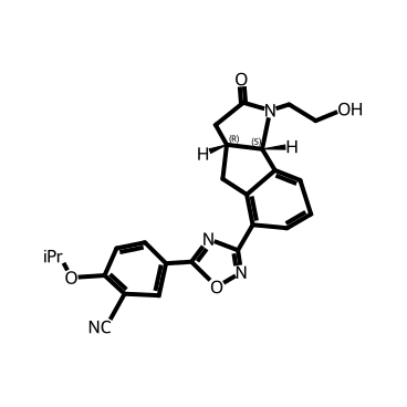 CC(C)Oc1ccc(-c2nc(-c3cccc4c3C[C@@H]3CC(=O)N(CCO)[C@H]43)no2)cc1C#N